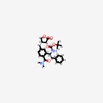 CN(C)C(=O)c1ccc(C[C@@H]2COC(=O)C2)cc1[C@H](Cc1ccccc1)NC(=O)OC(C)(C)C